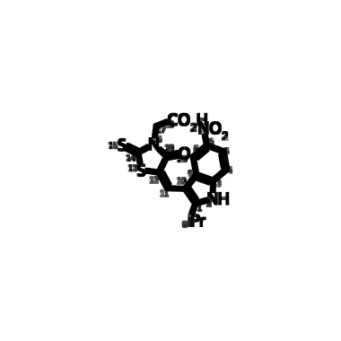 CC(C)c1[nH]c2ccc([N+](=O)[O-])cc2c1C=C1SC(=S)N(CC(=O)O)C1=O